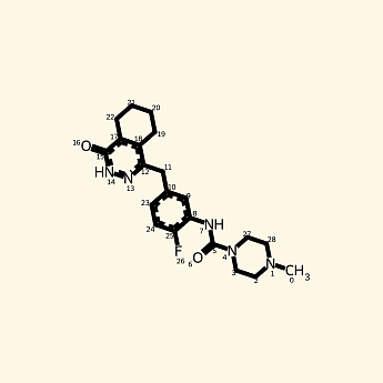 CN1CCN(C(=O)Nc2cc(Cc3n[nH]c(=O)c4c3CCCC4)ccc2F)CC1